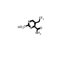 NC(=O)c1nc(C(=O)O)ncc1CC(F)(F)F